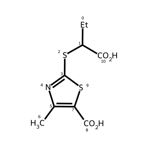 CCC(Sc1nc(C)c(C(=O)O)s1)C(=O)O